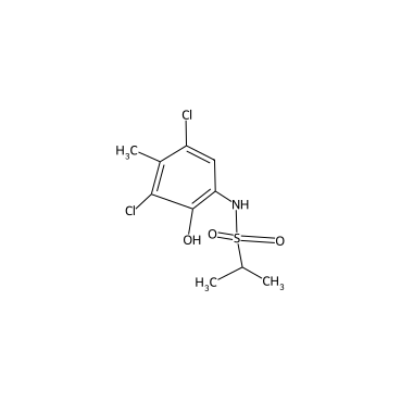 Cc1c(Cl)cc(NS(=O)(=O)C(C)C)c(O)c1Cl